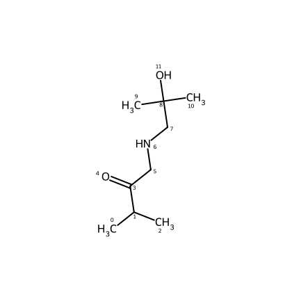 CC(C)C(=O)CNCC(C)(C)O